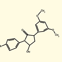 COc1cc(OC)cc(C2CC(O)N(c3ccc(Br)cc3)C2=O)c1